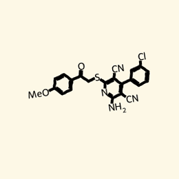 COc1ccc(C(=O)CSc2nc(N)c(C#N)c(-c3cccc(Cl)c3)c2C#N)cc1